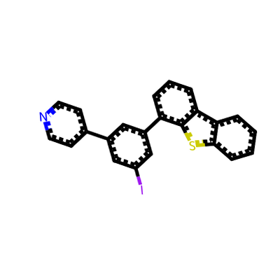 Ic1cc(-c2ccncc2)cc(-c2cccc3c2sc2ccccc23)c1